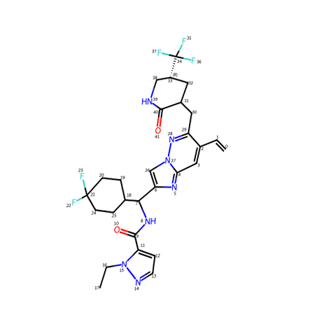 C=Cc1cc2nc(C(NC(=O)c3ccnn3CC)C3CCC(F)(F)CC3)cn2nc1CC1C[C@@H](C(F)(F)F)CNC1=O